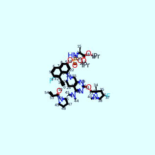 C#Cc1c(F)ccc2cc(OP(=O)(N[C@@H](C)C(=O)OC(C)C)OC(C)C)cc(N3CCc4c(nc(OC[C@]5(C)C[C@@H](F)CN5C)nc4N(C)C[C@@H]4CCCN4C(=O)C=C)C3)c12